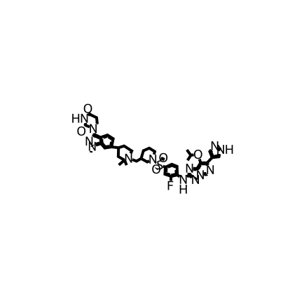 CC(C)Oc1c(-c2cn[nH]c2)ncn2nc(Nc3ccc(S(=O)(=O)N4CCCC(CN5CCC(c6ccc7c(N8CCC(=O)NC8=O)nn(C)c7c6)CC5(C)C)C4)cc3F)nc12